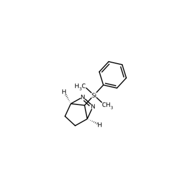 C[Si](C)(c1ccccc1)C1[C@@H]2CC[C@H]1N=N2